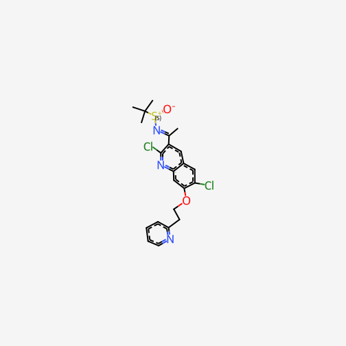 CC(=N[S@+]([O-])C(C)(C)C)c1cc2cc(Cl)c(OCCc3ccccn3)cc2nc1Cl